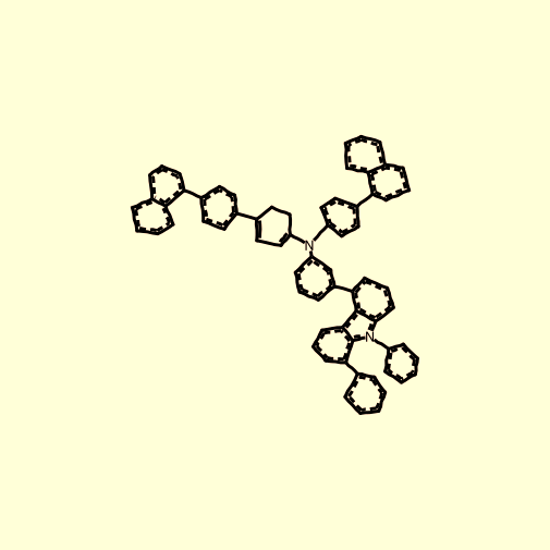 C1=C(c2ccc(-c3cccc4ccccc34)cc2)CCC(N(c2ccc(-c3cccc4ccccc34)cc2)c2cccc(-c3cccc4c3c3cccc(-c5ccccc5)c3n4-c3ccccc3)c2)=C1